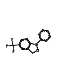 FC(F)(F)c1ccc2c(c1)COB2c1ccccc1